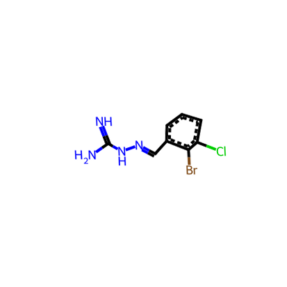 N=C(N)NN=Cc1cccc(Cl)c1Br